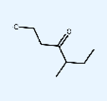 CCC(C)C(=O)CC[O]